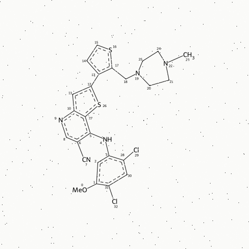 COc1cc(Nc2c(C#N)cnc3cc(-c4ccsc4CN4CCN(C)CC4)sc23)c(Cl)cc1Cl